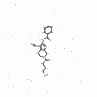 N#Cc1c(NC(=O)c2ccccc2)sc2c1CCN(C(=O)CCCO)C2